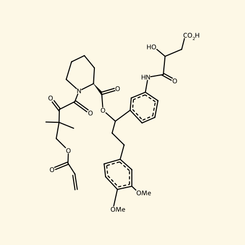 C=CC(=O)OCC(C)(C)C(=O)C(=O)N1CCCC[C@H]1C(=O)OC(CCc1ccc(OC)c(OC)c1)c1cccc(NC(=O)C(O)CC(=O)O)c1